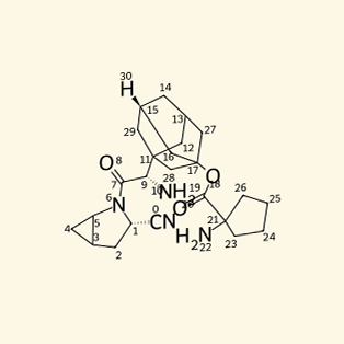 N#C[C@@H]1CC2CC2N1C(=O)[C@@H](N)C12CC3C[C@H](CC(OC(=O)C4(N)CCCC4)(C3)C1)C2